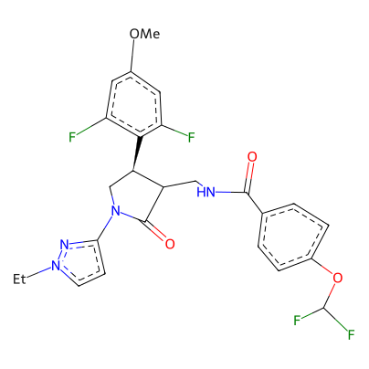 CCn1ccc(N2C[C@@H](c3c(F)cc(OC)cc3F)C(CNC(=O)c3ccc(OC(F)F)cc3)C2=O)n1